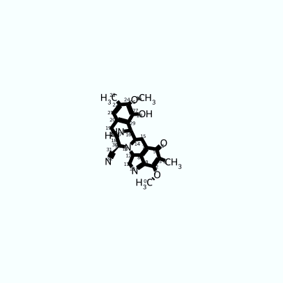 COC1=C(C)C(=O)C2=C3C1=NCC3N1C(C2)C2N[C@H](Cc3cc(C)c(OC)c(O)c32)[C@@H]1C#N